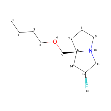 CCCCOC[C@@]12CCCN1C[C@@H](F)C2